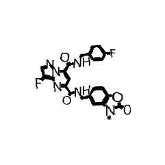 Cn1c(=O)oc2ccc(CNC(=O)c3cc(C(=O)NCc4ccc(F)cc4)n4ncc(F)c4n3)cc21